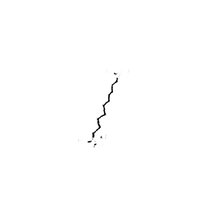 CN(C)[CH]CCCCCCCCC[N+](C)(C)C